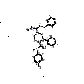 N#C/N=C(/NCc1ccccc1)N1CCN(C(=O)Nc2ccc(Cl)cc2)C(c2ccccc2)C1